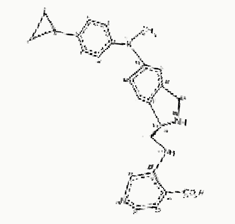 CN(c1ccc(C2CC2)cc1)c1ccc2c(c1)CN[C@H]2CNc1cnccc1C(=O)O